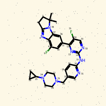 CC1(C)CCc2nc3c(F)cc(-c4nc(Nc5ccc(CN6CCN(C7CC7)CC6)cn5)ncc4F)cc3n21